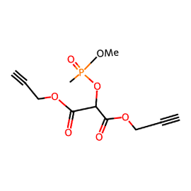 C#CCOC(=O)C(OP(C)(=O)OC)C(=O)OCC#C